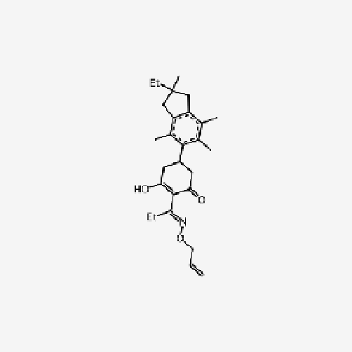 C=CCON=C(CC)C1=C(O)CC(c2c(C)c(C)c3c(c2C)CC(C)(CC)C3)CC1=O